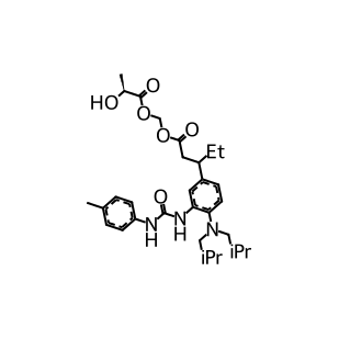 CCC(CC(=O)OCOC(=O)[C@H](C)O)c1ccc(N(CC(C)C)CC(C)C)c(NC(=O)Nc2ccc(C)cc2)c1